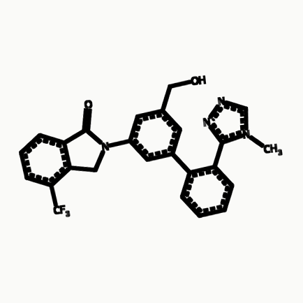 Cn1cnnc1-c1ccccc1-c1cc(CO)cc(N2Cc3c(cccc3C(F)(F)F)C2=O)c1